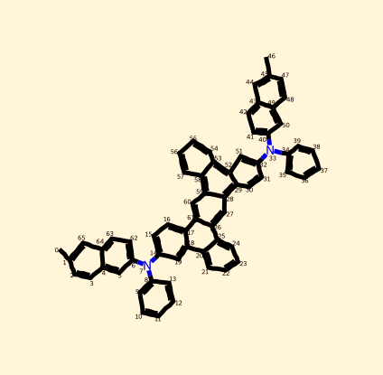 Cc1ccc2cc(N(c3ccccc3)c3ccc4c(c3)c3ccccc3c3cc5c6ccc(N(c7ccccc7)c7ccc8cc(C)ccc8c7)cc6c6ccccc6c5cc43)ccc2c1